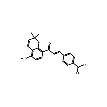 CCN(CC)c1ccc(/C=C/C(=O)c2ccc(OC(C)=O)c3c2OC(C)(C)C=C3)cc1